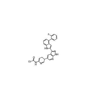 CCC(=O)NC1=CCC(c2cnc3[nH]nc(-c4cc5c(-c6ccccc6F)cccc5[nH]4)c3c2)C=N1